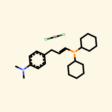 CN(C)c1ccc(CC=CP(C2CCCCC2)C2CCCCC2)cc1.[Cl][Ni][Cl]